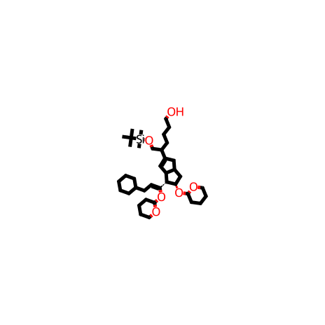 CC(C)(C)[Si](C)(C)OCC(CCCCO)C1=CC2C(C1)C[C@@H](OC1CCCCO1)[C@@H]2C(=CCC1CCCCC1)OC1CCCCO1